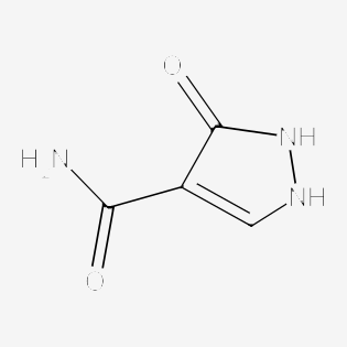 NC(=O)c1c[nH][nH]c1=O